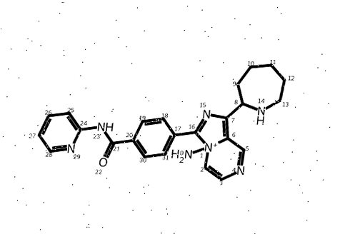 N[N+]12C=CN=CC1=C(C1CCCCCN1)N=C2c1ccc(C(=O)Nc2ccccn2)cc1